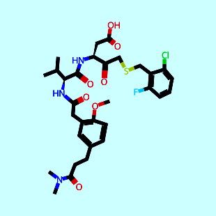 COc1ccc(CCC(=O)N(C)C)cc1CC(=O)N[C@H](C(=O)N[C@@H](CC(=O)O)C(=O)CSCc1c(F)cccc1Cl)C(C)C